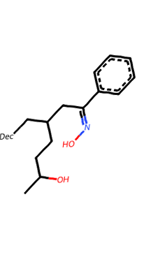 CCCCCCCCCCCC(CCC(C)O)CC(=NO)c1ccccc1